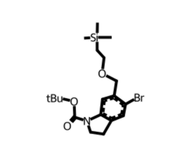 CC(C)(C)OC(=O)N1CCc2cc(Br)c(COCC[Si](C)(C)C)cc21